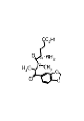 CC(C(=O)c1ccc2c(c1)OCO2)N(C)C(=O)[C@@H](N)CCC(=O)O